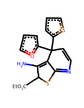 CCOC(=O)C1SC2=NC=CC(c3ccco3)(c3cccs3)C2=C1N